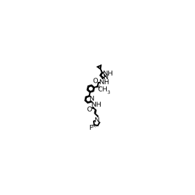 C[C@H](C(=O)Nc1cc(C2CC2)[nH]n1)c1cccc(-c2cccc(NC(=O)C=CCN3CC[C@H](F)C3)n2)c1